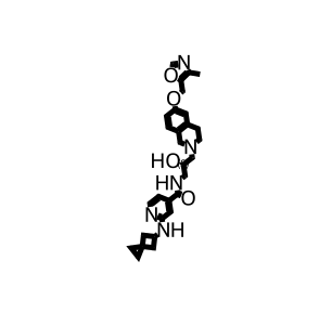 Cc1ncoc1COc1ccc2c(c1)CCN(C[C@@H](O)CNC(=O)c1ccnc(NC3CC4(CC4)C3)c1)C2